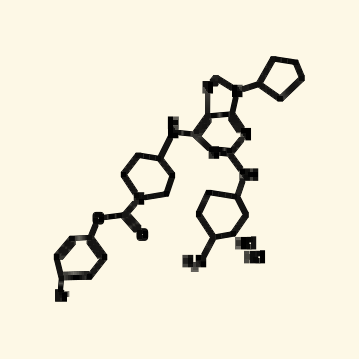 Cl.Cl.NC1CCC(Nc2nc(NC3CCN(C(=O)Oc4ccc(Br)cc4)CC3)c3ncn(C4CCCC4)c3n2)CC1